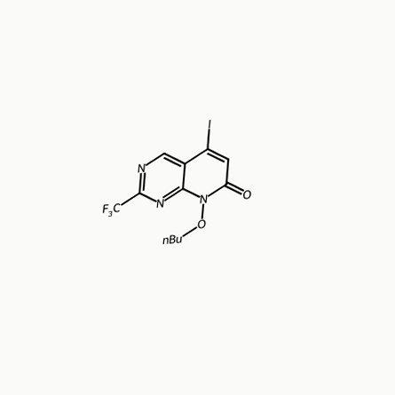 CCCCOn1c(=O)cc(I)c2cnc(C(F)(F)F)nc21